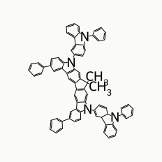 CC1(C)c2cc3c(cc2-c2cc4c5cc(-c6ccccc6)ccc5n(-c5ccc6c(c5)c5ccccc5n6-c5ccccc5)c4cc21)c1cc(-c2ccccc2)ccc1n3C1=CC2c3ccccc3N(c3ccccc3)C2C=C1